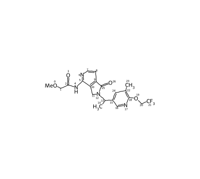 COCC(=O)Nc1nccc2c1CN(C(C)c1cnc(OCC(F)(F)F)c(C)c1)C2=O